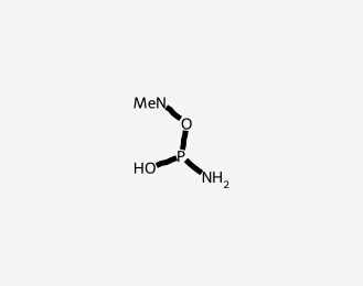 CNOP(N)O